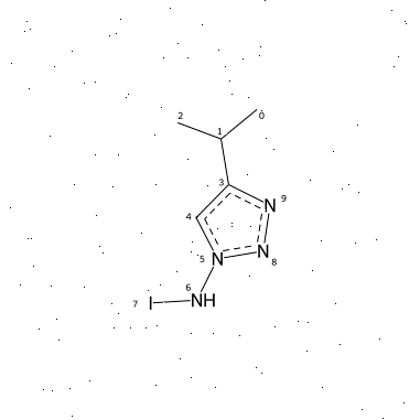 CC(C)c1cn(NI)nn1